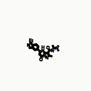 CCn1ncc2cc(-c3cc(=O)n4nc(C)c(C(=O)/N=C(\C)N(C)C)c4[nH]3)ccc21